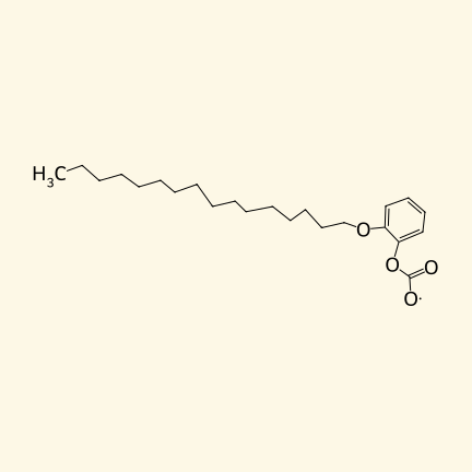 CCCCCCCCCCCCCCCCOc1ccccc1OC([O])=O